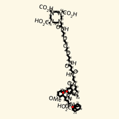 COc1cccc(OC)c1-c1cc(C(=O)NC2(C(=O)O)C3CC4CC(C3)CC2C4)nn1-c1ccc(C(=O)N(CCCNC(=O)CCC(=O)NCCCOCCOCCOCCCNC(=O)CN2CCN(CC(=O)O)CCN(CC(=O)O)CCN(CC(=O)O)CC2)CCCN(C)C)cc1C(C)C